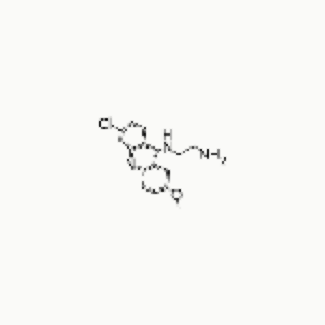 COc1ccc2nc3cc(Cl)ccc3c(NCCN)c2c1